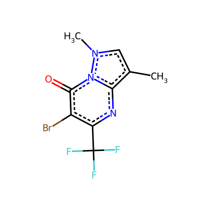 Cc1cn(C)n2c(=O)c(Br)c(C(F)(F)F)nc12